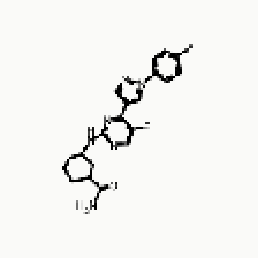 NC(=O)C1CCCC(Nc2ncc(F)c(-c3cnn(-c4ccc(F)cc4)c3)n2)C1